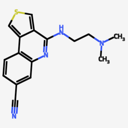 CN(C)CCNc1nc2cc(C#N)ccc2c2cscc12